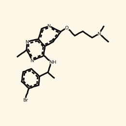 Cc1nc(NC(C)c2cccc(Br)c2)c2cc(OCCCN(C)C)ncc2n1